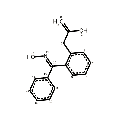 C=C(O)Cc1ccccc1C(=NO)c1ccccc1